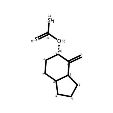 C=C1C2CCCC2CC[C@@H]1OC(=S)S